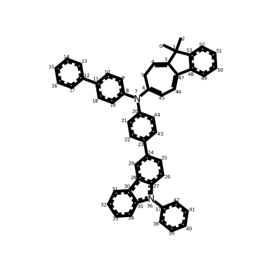 CC1(C)C2=CCC(N(c3ccc(-c4ccccc4)cc3)c3ccc(-c4ccc5c(c4)c4ccccc4n5-c4ccccc4)cc3)=CC=C2c2ccccc21